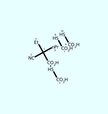 CCCC(C#N)(CC)C(=O)O.O=C(O)S.O=C(O)S.O=C(O)S